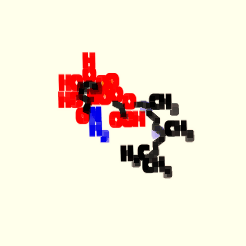 CC(C)=CCC/C(C)=C/CC/C(C)=C\COC(COP(=O)(O)O[C@@H]1OC(C(N)=O)C(O)[C@H](O)C1O)C(=O)O